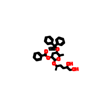 CC1OC(O[C@H](C)CCC(O)CO)C(OC(=O)c2ccccc2)CC1O[Si](c1ccccc1)(c1ccccc1)C(C)(C)C